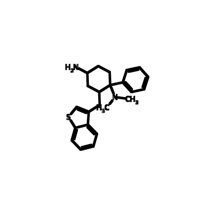 CN(C)C1(c2ccccc2)CCC(N)CC1Cc1csc2ccccc12